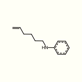 C=CCCCCNc1ccccc1